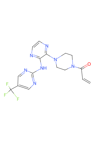 C=CC(=O)N1CCN(c2nccnc2Nc2ncc(C(F)(F)F)cn2)CC1